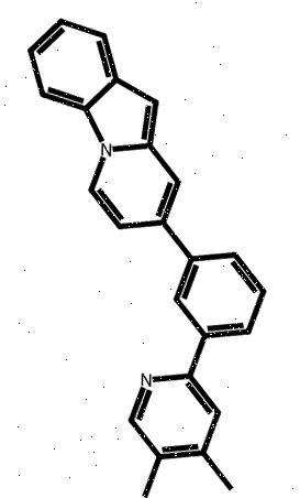 Cc1cnc(-c2cccc(-c3ccn4c(c3)cc3ccccc34)c2)cc1C